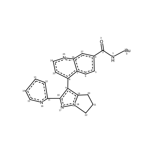 CCC(C)NC(=O)c1ccc2c(-c3c(-c4ccccn4)nn4c3CCC4)ccnc2c1